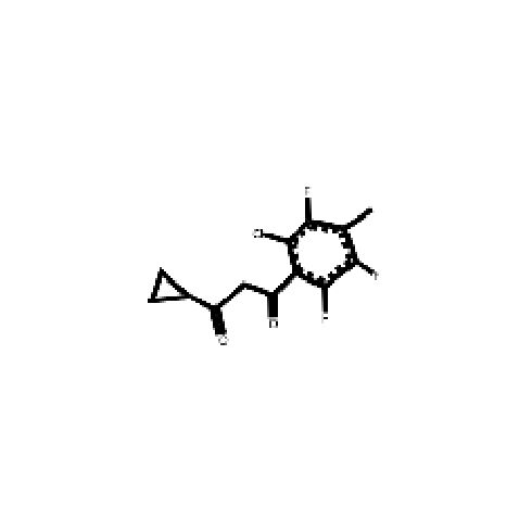 Cc1c(F)c(F)c(C(=O)CC(=O)C2CC2)c(Cl)c1F